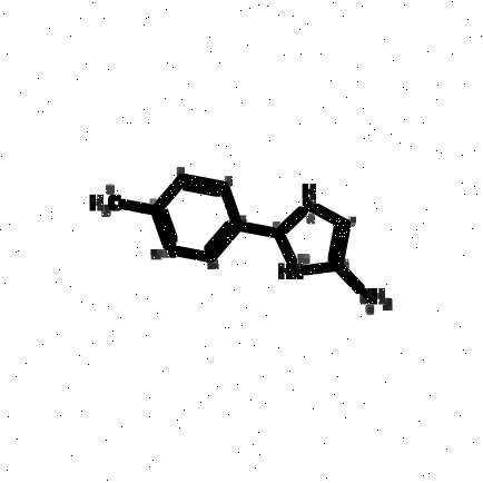 Cc1ccc(C2NC=C(N)N2)cn1